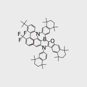 Cc1cc2c3c(c1)N(c1ccc4c(c1)C(C)(C)CCC4(C)C)c1c(oc4cc5c(cc14)C(C)(C)CCC5(C)C)B3c1cc3c(cc1N2c1ccc(C(C)(C)C)cc1-c1ccccc1C(F)(F)F)C(C)(C)CCC3(C)C